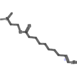 CCCC/C=C/CCCCCCCC(=O)OCCN(C)C